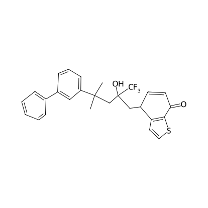 CC(C)(CC(O)(CC1C=CC(=O)c2sccc21)C(F)(F)F)c1cccc(-c2ccccc2)c1